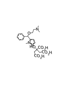 CN(C)CCOC(c1ccccc1)c1ccnn1C.O=C(O)CC(O)(CC(=O)O)C(=O)O